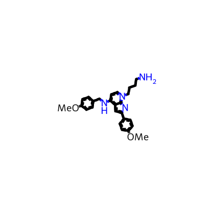 COc1ccc(CNc2ccn(CCCCN)c3nc(-c4ccc(OC)cc4)cc2-3)cc1